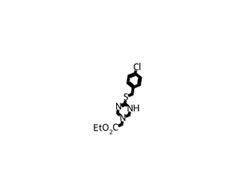 CCOC(=O)CN1CN=C(SCc2ccc(Cl)cc2)NC1